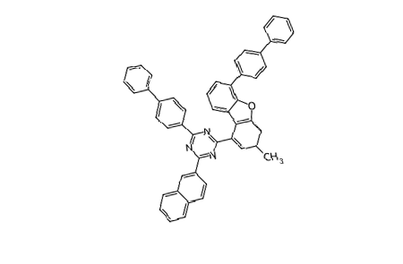 CC1C=C(c2nc(-c3ccc(-c4ccccc4)cc3)nc(-c3ccc4ccccc4c3)n2)c2c(oc3c(-c4ccc(-c5ccccc5)cc4)cccc23)C1